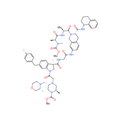 C[C@@H]1COCCN1C[C@H]1CN(C(=O)OC(C)(C)C)[C@H](C)CN1CC(=O)N1C[C@](C)(C(=O)NCC(=O)Nc2ccc3c(c2)CN(C(=O)[C@@H](NC(=O)[C@H](C)N(C)C(=O)OC(C)(C)C)C(C)(C)C)[C@H](C(=O)NC2CCCc4ccccc42)C3)c2ccc(Cc3ccc(F)cc3)cc21